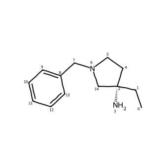 CC[C@]1(N)CCN(Cc2ccccc2)C1